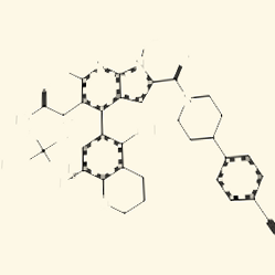 Cc1nc2c(cc(C(=O)N3CCC(c4ccc(C#N)cc4)CC3)n2C)c(-c2cc(F)c3c(c2C)CCCO3)c1[C@H](OC(C)(C)C)C(=O)O